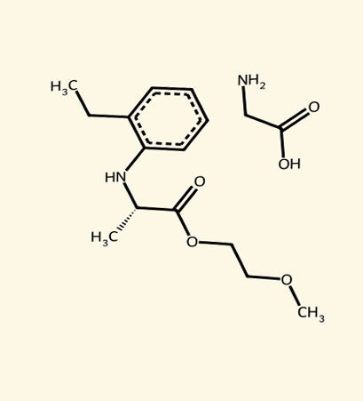 CCc1ccccc1N[C@@H](C)C(=O)OCCOC.NCC(=O)O